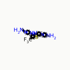 NCCN1CCC(Nc2cc(C(F)(F)F)cc3c2NC2=C(C=C(N4CCC(N)CC4)CC2)S3)CC1